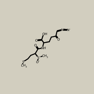 CSCCC(C(=O)NC(CCC(=O)C=[N+]=[N-])C(=O)O)[S+](C)[O-]